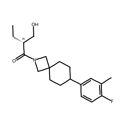 CC[C@H](CO)C(=O)N1CC2(CCC(c3ccc(F)c(C)c3)CC2)C1